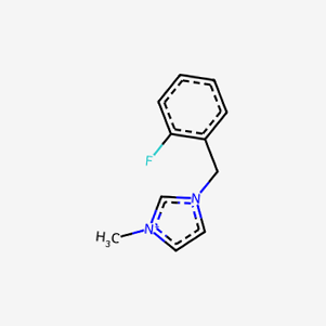 C[n+]1ccn(Cc2ccccc2F)c1